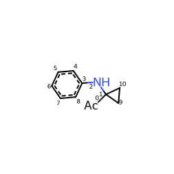 CC(=O)C1(Nc2ccccc2)CC1